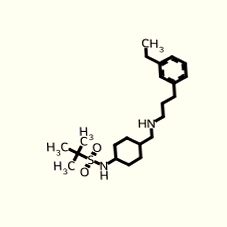 CCc1cccc(CCCNCC2CCC(NS(=O)(=O)C(C)(C)C)CC2)c1